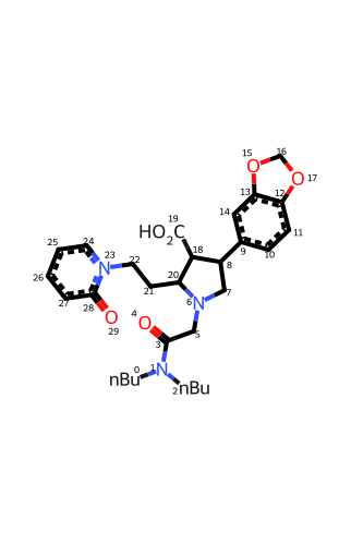 CCCCN(CCCC)C(=O)CN1CC(c2ccc3c(c2)OCO3)C(C(=O)O)C1CCn1ccccc1=O